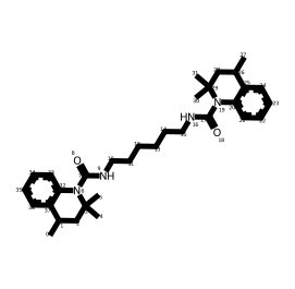 CC1CC(C)(C)N(C(=O)NCCCCCCNC(=O)N2c3ccccc3C(C)CC2(C)C)c2ccccc21